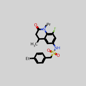 CCc1ccc(CS(=O)(=O)Nc2cc(F)c3c(c2)C(C)CC(=O)N3C(C)C)cc1